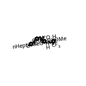 CCCCCCCOc1ccc(C(=O)Oc2ccc(CN(CC(=O)O)C(=O)c3ccc(NC(=O)Cc4ccc(OC)cc4C(F)(F)F)cc3OC)cc2)cc1